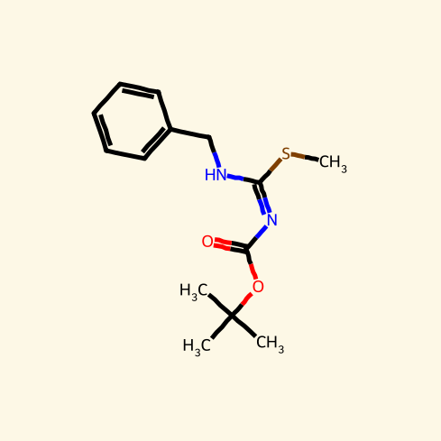 CS/C(=N/C(=O)OC(C)(C)C)NCc1ccccc1